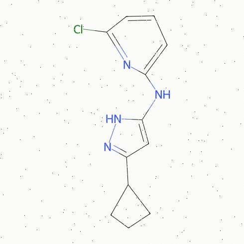 Clc1cccc(Nc2cc(C3CCC3)n[nH]2)n1